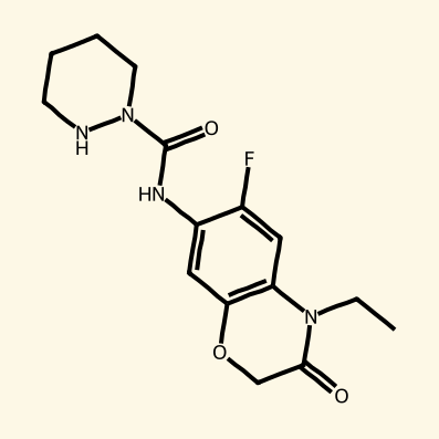 CCN1C(=O)COc2cc(NC(=O)N3CCCCN3)c(F)cc21